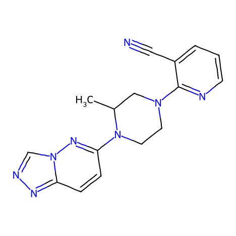 CC1CN(c2ncccc2C#N)CCN1c1ccc2nncn2n1